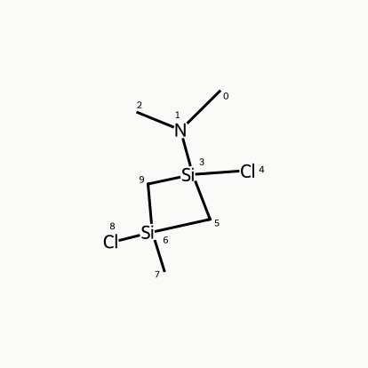 CN(C)[Si]1(Cl)C[Si](C)(Cl)C1